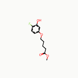 COC(=O)CCCCOc1ccc(F)c(O)c1